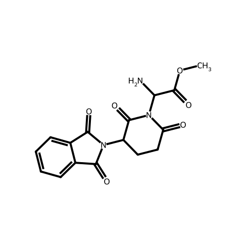 COC(=O)C(N)N1C(=O)CCC(N2C(=O)c3ccccc3C2=O)C1=O